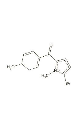 CC1C=CC(C(=O)c2ccc(C(C)C)n2C)=CC1